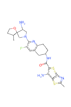 Cc1nc2sc(C(=O)NC3CCc4nc(N5CC(N)C6(C5)OCCC6C)c(F)cc4C3)c(N)c2s1